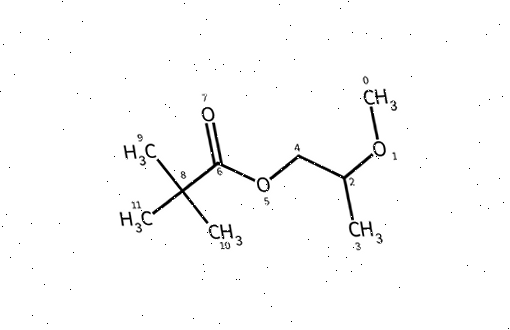 COC(C)COC(=O)C(C)(C)C